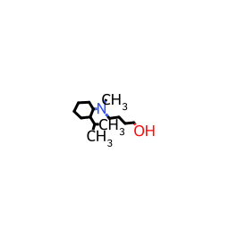 CC(C)C1CCCCC1N(C)CCCCO